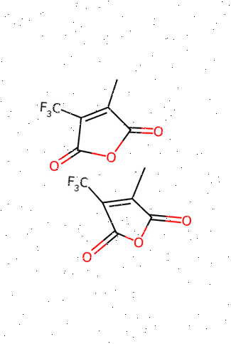 CC1=C(C(F)(F)F)C(=O)OC1=O.CC1=C(C(F)(F)F)C(=O)OC1=O